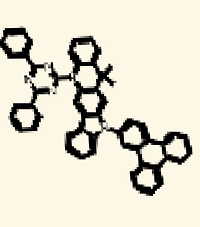 CC1(C)c2ccccc2N(c2nc(-c3ccccc3)nc(-c3ccccc3)n2)c2cc3c4ccccc4n(-c4ccc5c6ccccc6c6ccccc6c5c4)c3cc21